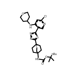 CCCCC(C)(C)OC(=O)NC12CCC(c3nnc(-c4cnc(Cl)cc4NC4CCOCC4)s3)(CC1)CC2